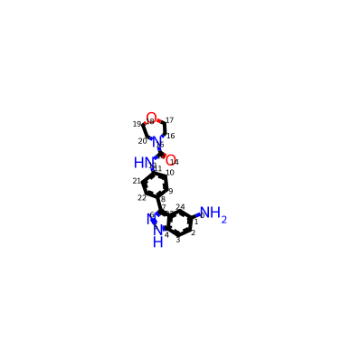 Nc1ccc2[nH]nc(-c3ccc(NC(=O)N4CCOCC4)cc3)c2c1